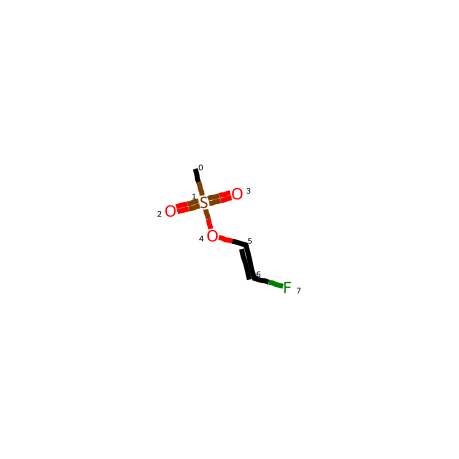 CS(=O)(=O)OC=CF